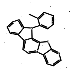 Cc1ccccc1-n1c2ccccc2c2ccc3c4ccccc4sc3c21